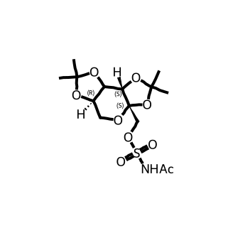 CC(=O)NS(=O)(=O)OC[C@@]12OC[C@H]3OC(C)(C)OC3[C@@H]1OC(C)(C)O2